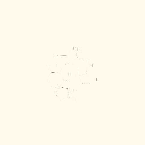 CC(C)[Si]1(C(C)C)O[C@@H]2C(=O)C=C[C@]3(CC(=O)ON3)[C@@H]2O[Si](C(C)C)(C(C)C)O1